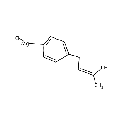 CC(C)=CCc1cc[c]([Mg][Cl])cc1